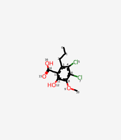 CCCc1c(Cl)c(Cl)c(OC)c(O)c1C(=O)O